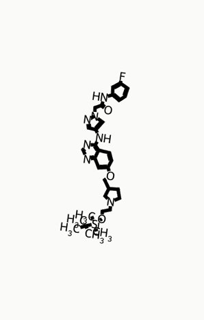 CC(C)(C)[Si](C)(C)OCCN1CCC(COc2ccc3c(Nc4cnn(CC(=O)Nc5cccc(F)c5)c4)ncnc3c2)C1